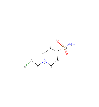 NS(=O)(=O)C1CCN(CCF)CC1